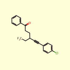 O=C(CCC(C#Cc1ccc(Cl)cc1)CC(F)(F)F)c1ccccc1